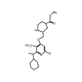 CN(c1nc(Cl)cc(OCC2CN(C(=O)OC(C)(C)C)CCN2)c1C(=O)O)C1CCOCC1